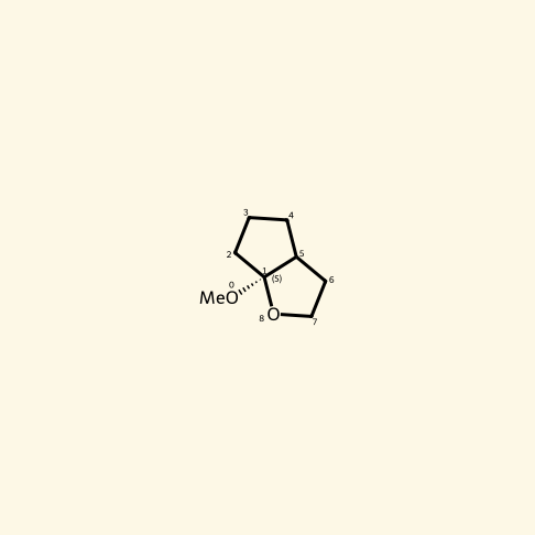 CO[C@]12CCCC1CCO2